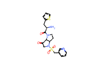 NC(Cc1cccs1)C(=O)N1CCC2C1C(=O)CN2S(=O)(=O)Cc1cccnc1